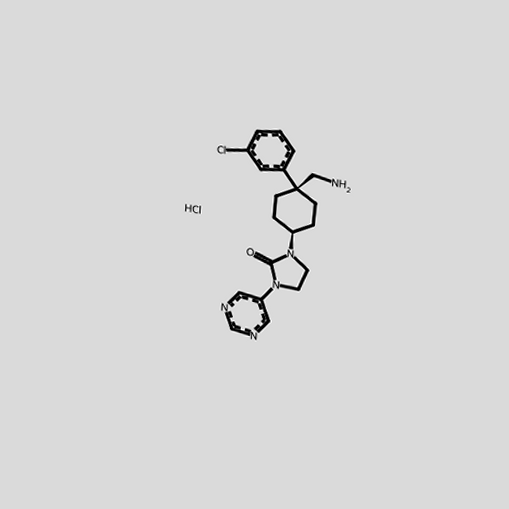 Cl.NC[C@]1(c2cccc(Cl)c2)CC[C@H](N2CCN(c3cncnc3)C2=O)CC1